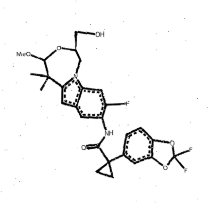 COC1O[C@@H](CO)Cn2c(cc3cc(NC(=O)C4(c5ccc6c(c5)OC(F)(F)O6)CC4)c(F)cc32)C1(C)C